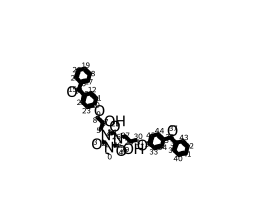 Cn1c(=O)n(CC(O)COc2ccc(C(=O)c3ccccc3)cc2)c(=O)n(CC(O)COc2ccc(C(=O)c3ccccc3)cc2)c1=O